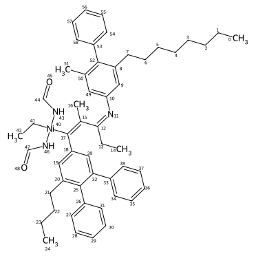 CCCCCCCCc1cc(N=C(CC)C(C)=[C](c2cc(CCCC)c(-c3ccccc3)c(-c3ccccc3)c2)[Ni]([CH2]C)([NH]C=O)[NH]C=O)cc(C)c1-c1ccccc1